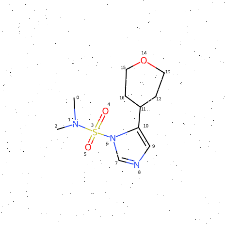 CN(C)S(=O)(=O)n1cncc1C1CCOCC1